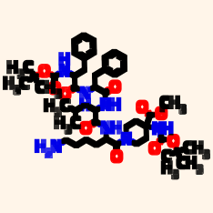 COC(=O)C1(NC(=O)OC(C)(C)C)CCN(C(=O)C(CCCCN)NC(=O)C(CC(C)C)NC(=O)C(Cc2ccccc2)NC(=O)C(Cc2ccccc2)NC(=O)OC(C)(C)C)CC1